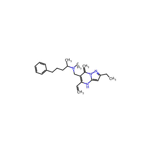 C=CC1=C(CN(C)C(C)CCCc2ccccc2)C(=C)n2nc(CC)cc2N1